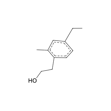 CCc1ccc(CCO)c(C)c1